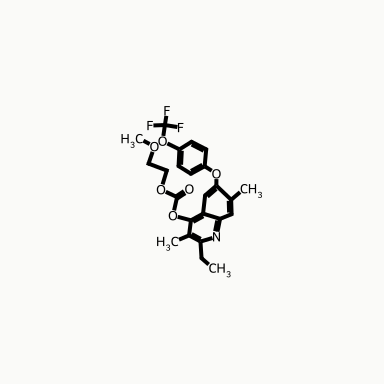 CCc1nc2cc(C)c(Oc3ccc(OC(F)(F)F)cc3)cc2c(OC(=O)OCCOC)c1C